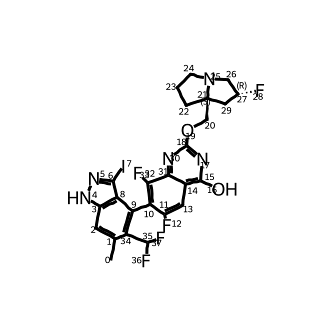 Cc1cc2[nH]nc(I)c2c(-c2c(F)cc3c(O)nc(OC[C@@]45CCCN4C[C@H](F)C5)nc3c2F)c1C(F)F